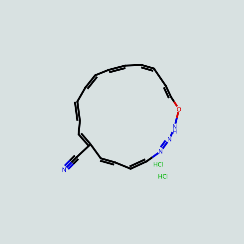 Cl.Cl.N#Cc1ccccccccccco[nH]nncccc1